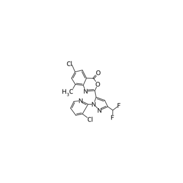 Cc1cc(Cl)cc2c(=O)oc(-c3cc(C(F)F)nn3-c3ncccc3Cl)nc12